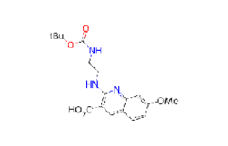 COc1ccc2cc(C(=O)O)c(NCCNC(=O)OC(C)(C)C)nc2c1